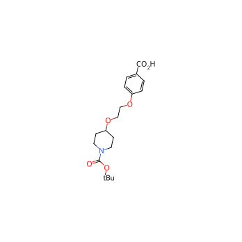 CC(C)(C)OC(=O)N1CCC(OCCOc2ccc(C(=O)O)cc2)CC1